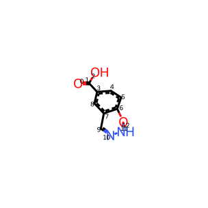 O=C(O)c1ccc2c(c1)C=NNO2